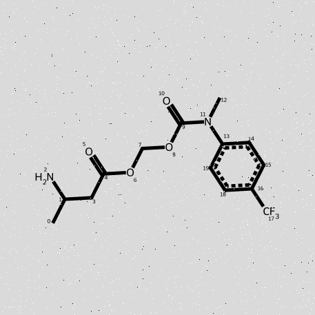 CC(N)CC(=O)OCOC(=O)N(C)c1ccc(C(F)(F)F)cc1